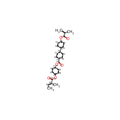 C=C(C)C(=O)Oc1ccc(-c2ccc(C(=O)Oc3ccc(OC(=O)/C(C)=C/C)cc3)cc2)cc1